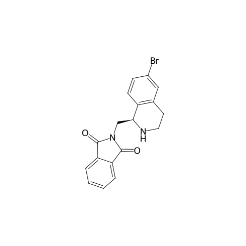 O=C1c2ccccc2C(=O)N1C[C@@H]1NCCc2cc(Br)ccc21